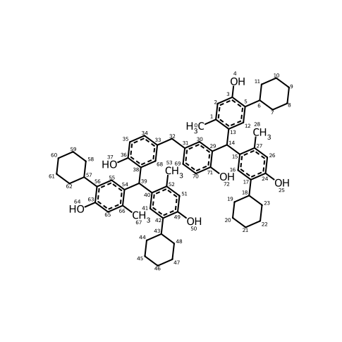 Cc1cc(O)c(C2CCCCC2)cc1C(c1cc(C2CCCCC2)c(O)cc1C)c1cc(Cc2ccc(O)c(C(c3cc(C4CCCCC4)c(O)cc3C)c3cc(C4CCCCC4)c(O)cc3C)c2)ccc1O